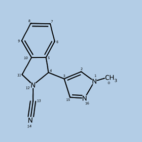 Cn1cc(C2c3ccccc3CN2C#N)cn1